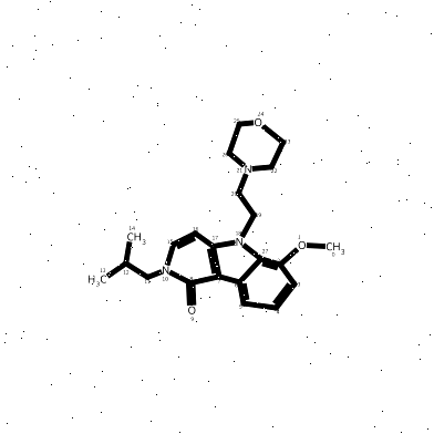 COc1cccc2c3c(=O)n(CC(C)C)ccc3n(CCN3CCOCC3)c12